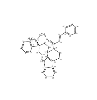 CN(C)[C@]1(c2ccccc2)CC[C@@]2(CC1)c1[nH]c3ccccc3c1CCN2C(=O)/C=C/c1ccccc1